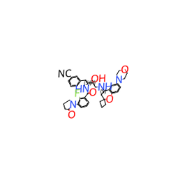 N#Cc1cccc(C[C@H](NC(=O)c2cccc(N3CCCC3=O)c2F)[C@H](O)CN[C@H]2CC3(CCC3)Oc3ccc(N4CCOCC4)cc32)c1